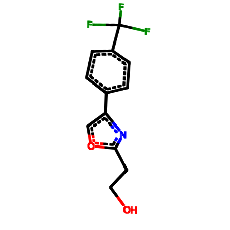 OCCc1nc(-c2ccc(C(F)(F)F)cc2)co1